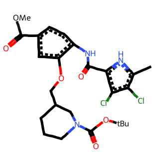 COC(=O)c1ccc(NC(=O)c2[nH]c(C)c(Cl)c2Cl)c(OCC2CCCN(C(=O)OC(C)(C)C)C2)c1